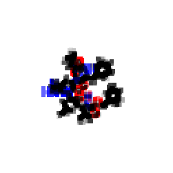 CC(C)C[C@H](NC(=O)[C@H](Cc1c[nH]cn1)NC(=O)[C@H](Cc1ccccc1)NC(=O)OC(C)(C)C)[C@@H](O)C[C@H](NC(=O)OCc1ccccc1)C(C)C